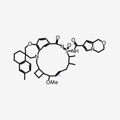 COC1/C=C/CC(C)C(C)S(=O)(NC(=O)c2cc3n(c2)CCOC3)=NC(=O)c2ccc3c(c2)N(CC2CCC21)CC1(CCCc2cc(C)ccc21)CO3